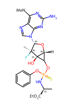 CCOC(=O)[C@H](C)NP(=S)(Oc1ccccc1)OC1[C@H]2O[C@@H](n3cnc4c(NC)nc(N)nc43)[C@](C)(F)[C@@]12O